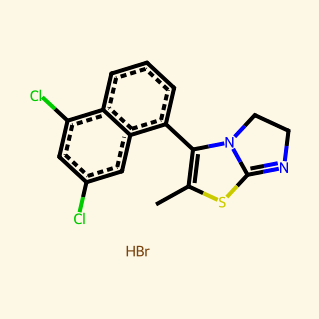 Br.CC1=C(c2cccc3c(Cl)cc(Cl)cc23)N2CCN=C2S1